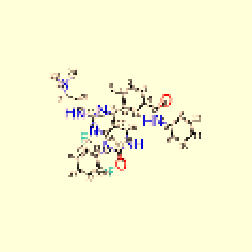 Cc1ccc(C(=O)Nc2ccccc2)cc1-c1nc(NCCN(C)C)nc2c1CNC(=O)N2c1c(F)cccc1F